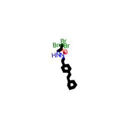 BrC(Br)(Br)C1=CNN(C=Cc2ccc(C=Cc3ccccc3)cc2)O1